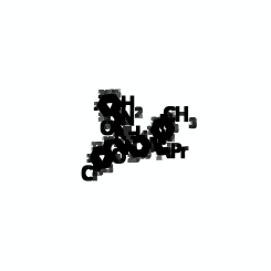 CC(C)CN(C1CCN(C(=O)[C@@H](Cc2ccc(Cl)cc2)NC(=O)C(N)c2ccccc2)CC1)N1CCN(C)CC1